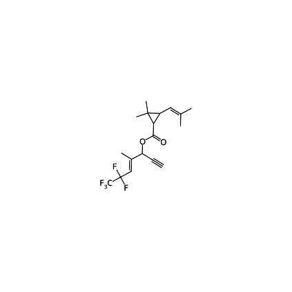 C#CC(OC(=O)C1C(C=C(C)C)C1(C)C)/C(C)=C/C(F)(F)C(F)(F)F